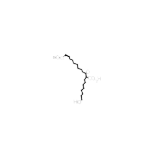 CCCCCCCC/C=C\CCCCCCCC(=O)C(CCCCCCCCO)C(=O)O